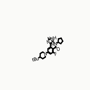 CC(C)(C)C1CCN(c2cc(F)c(C(=O)NC3CCCC3)c(-c3nn[nH]n3)c2)CC1